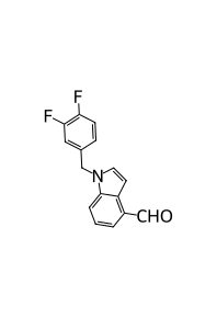 O=Cc1cccc2c1ccn2Cc1ccc(F)c(F)c1